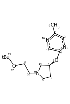 Cc1cnc(O[C@H]2CCN(CCOC(C)(C)C)C2)cn1